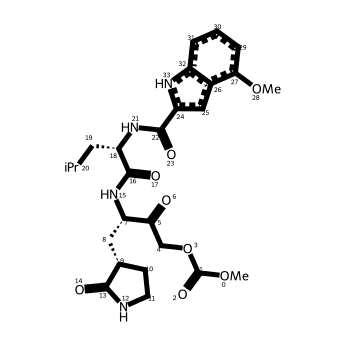 COC(=O)OCC(=O)[C@H](C[C@@H]1CCNC1=O)NC(=O)[C@H](CC(C)C)NC(=O)c1cc2c(OC)cccc2[nH]1